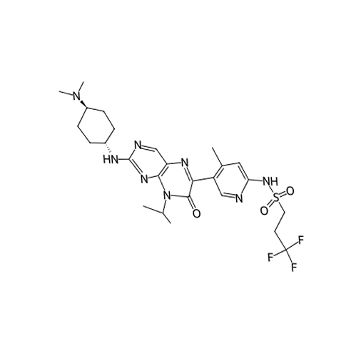 Cc1cc(NS(=O)(=O)CCC(F)(F)F)ncc1-c1nc2cnc(N[C@H]3CC[C@H](N(C)C)CC3)nc2n(C(C)C)c1=O